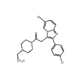 O=C(O)CN1CCN(C(=O)Cc2c(-c3ccc(Cl)cc3)nc3ccc(Cl)cn23)CC1